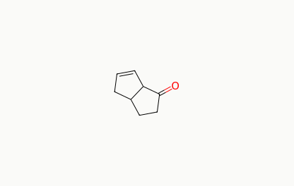 O=C1CCC2CC=CC12